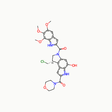 COc1cc2cc(C(=O)N3C[C@@H](CCl)c4c3cc(O)c3[nH]c(C(=O)N5CCOCC5)cc43)[nH]c2c(OC)c1OC